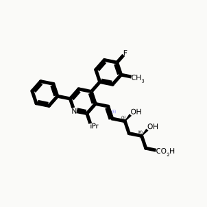 Cc1cc(-c2cc(-c3ccccc3)nc(C(C)C)c2/C=C/[C@@H](O)C[C@@H](O)CC(=O)O)ccc1F